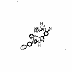 CC(Cn1cnnn1)Oc1cc(-c2cnc(Nc3cn(C4CCC(N5CCOCC5)CC4)nc3OCc3ccccn3)nc2)ccc1C#N